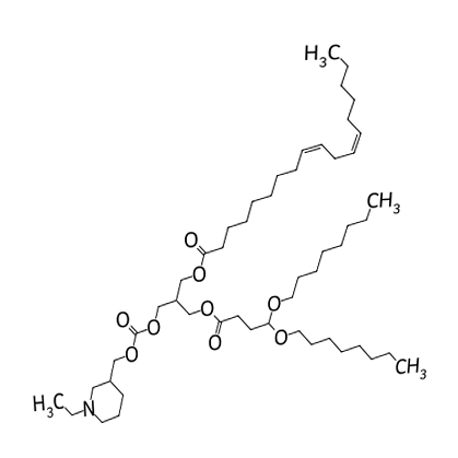 CCCCC/C=C\C/C=C\CCCCCCCC(=O)OCC(COC(=O)CCC(OCCCCCCCC)OCCCCCCCC)COC(=O)OCC1CCCN(CC)C1